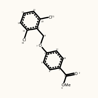 COC(=O)c1ccc(OCc2c(Cl)cccc2Cl)cc1